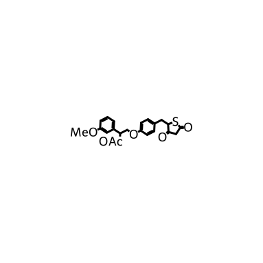 COc1cccc(C(COc2ccc(CC3SC(=O)CC3=O)cc2)OC(C)=O)c1